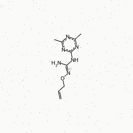 C=CCO/N=C(\N)Nc1nc(C)nc(C)n1